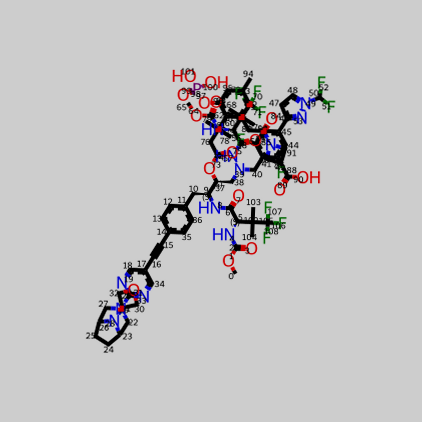 COC(=O)N[C@H](C(=O)N[C@@H](Cc1ccc(C#Cc2cnc(N3CC4CCC(C3)N4C3COC3)nc2)cc1)[C@H](CN(Cc1c(F)cc(-c2ccn(C(F)F)n2)cc1F)NC(=O)[C@@H](NC(=O)OC)C(C)(C)C(F)(F)F)OC(=O)CC(C)(C)c1c(CC(=O)N2CC(C(=O)O)C2)cc(C)cc1OP(=O)(O)O)C(C)(C)C(F)(F)F